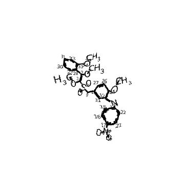 COC(=C(OC)S(=O)(=O)CC1=CC(=Nc2ccc([N+](=O)[O-])cc2)C(OC)C=C1)c1ccccc1OC